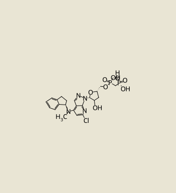 CN(c1cc(Cl)nc2c1cnn2[C@@H]1O[C@H](COP(=O)(O)CP(=O)(O)O)CC1O)[C@@H]1CCc2ccccc21